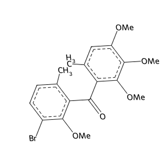 COc1cc(C)c(C(=O)c2c(C)ccc(Br)c2OC)c(OC)c1OC